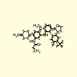 C=CC(=O)Nc1cc(Nc2cc(N3OCCC3c3ccc(F)c(C(F)(F)F)c3)ncn2)c(OC)cc1N1CCN(C)CC1